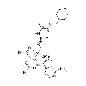 CCC(=O)O[C@@H](c1ccc2c(N)ncnn12)[C@H](OC(=O)CC)[C@@](C)(CO[PH](=O)N[C@@H](C)C(=O)OCC1CCOCC1)OC